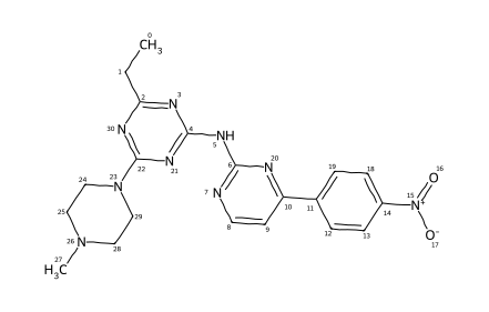 CCc1nc(Nc2nccc(-c3ccc([N+](=O)[O-])cc3)n2)nc(N2CCN(C)CC2)n1